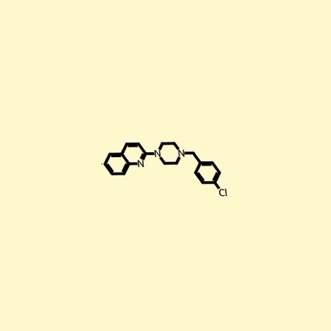 Clc1ccc(CN2CCN(c3ccc4c[c]ccc4n3)CC2)cc1